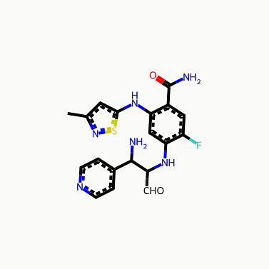 Cc1cc(Nc2cc(NC(C=O)C(N)c3ccncc3)c(F)cc2C(N)=O)sn1